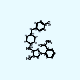 NC(=O)c1ccccc1N1CC(O)C(NC2CCN(Cc3ccc(Cl)cc3)CC2)C1